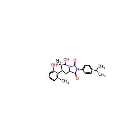 Cc1cccc(O)c1C1CC2C(=O)N(c3ccc(C(C)C)cc3)C(=O)N2C(O)C1C